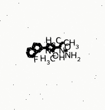 COc1nc(-c2ccc3cccc(F)c3c2)ccc1C(NC(N)=O)C(C)C